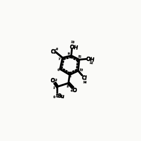 CC(C)(C)C(=O)C(=O)c1cc(Cl)c(O)c(O)c1Cl